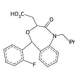 CC(C)CN1C(=O)C(CC(=O)O)OC(c2ccccc2F)c2ccccc21